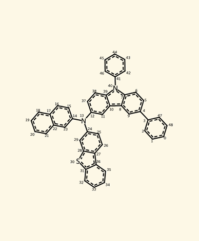 c1ccc(-c2ccc3c(c2)c2cc(N(c4ccc5ccccc5c4)c4ccc5c(c4)sc4ccccc45)ccc2n3-c2ccccc2)cc1